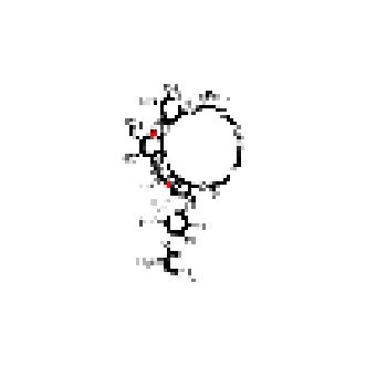 C/C=C(/C)C(=O)O[C@H]1[C@H](O)[C@@H](O)[C@H](O[C@@H]2[C@H]3OC(=O)CCCCCCCCC[C@H](CCCCC)O[C@@H]4O[C@H](C)[C@@H](O)[C@H](O)[C@H]4O[C@@H]4O[C@H](CO)[C@@H](O)[C@H](O)[C@H]4O[C@H](O[C@H]2C)[C@@H]3OC(=O)[C@@H](C)CC)O[C@@H]1C